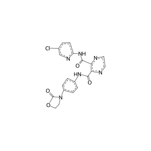 O=C(Nc1ccc(N2CCOC2=O)cc1)c1nccnc1C(=O)Nc1ccc(Cl)cn1